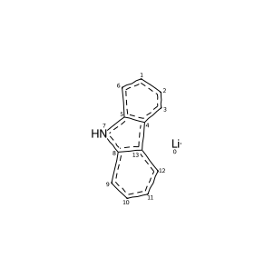 [Li].c1ccc2c(c1)[nH]c1ccccc12